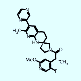 COc1cc([C@@H](C)C(=O)N2CC[C@@]3(CCc4cc(-c5cnccn5)c(C)nc4N3)C2)c(F)cn1